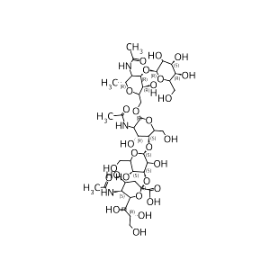 CC(=O)NC1[C@H](OCC2O[C@H](C)C(NC(C)=O)[C@@H](O[C@@H]3OC(CO)[C@H](O)[C@H](O)C3O)[C@H]2O)OC(CO)[C@@H](O[C@@H]2OC(CO)[C@H](O)[C@H](O[C@]3(C(=O)O)CC(O)[C@H](NC(C)=O)C([C@H](O)[C@H](O)CO)O3)C2O)[C@@H]1O